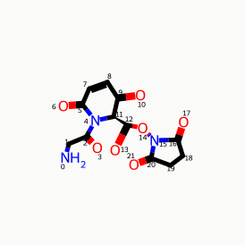 NCC(=O)N1C(=O)C=CC(=O)[C@H]1C(=O)ON1C(=O)CCC1=O